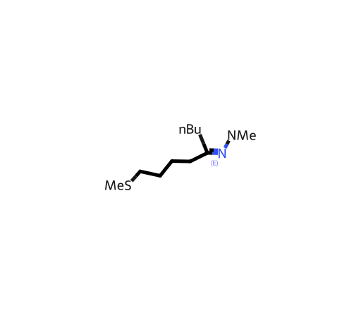 CCCC/C(CCCCSC)=N\NC